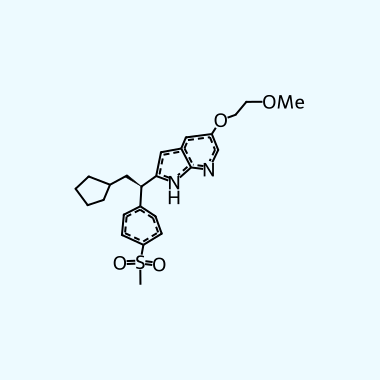 COCCOc1cnc2[nH]c([C@H](CC3CCCC3)c3ccc(S(C)(=O)=O)cc3)cc2c1